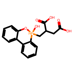 O=C(O)CC(C[PH]1(O)Oc2ccccc2-c2ccccc21)C(=O)O